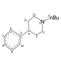 CCCCN1CC[C](c2ccccc2)CC1